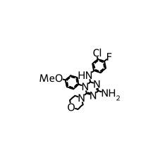 COc1ccc(N2C(N3CCOCC3)=NC(N)=NC2Nc2ccc(F)c(Cl)c2)cc1